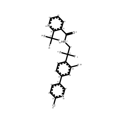 O=C(NCC(F)(F)c1ccc(-c2ccc(Cl)nc2)cc1F)c1cccnc1C(F)(F)F